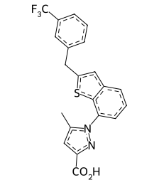 Cc1cc(C(=O)O)nn1-c1cccc2cc(Cc3cccc(C(F)(F)F)c3)sc12